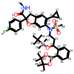 CNC(=O)C1(c2ccc(F)cc2)Cc2cc(C3CC3)c(N(CCC(O[Si](C)(C)C(C)(C)C)c3ccccc3B3OC(C)(C)C(C)(C)O3)S(C)(=O)=O)cc2O1